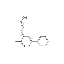 CC(=O)C(=C/C=N/O)/C=C(\C)c1ccccc1